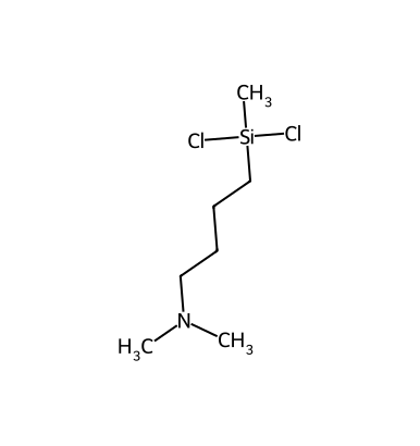 CN(C)CCCC[Si](C)(Cl)Cl